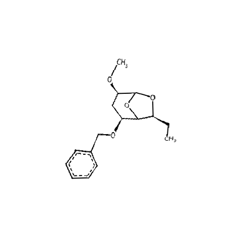 CC[C@@H]1OC2OC1[C@@H](OCc1ccccc1)C[C@H]2OC